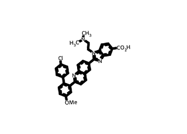 COc1ccc(-c2ccc(Cl)cc2)c(-c2ccc3cc(-c4nc5cc(C(=O)O)ccc5n4CCN(C)C)ccc3n2)c1